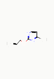 C=CCOc1nccc(C)n1